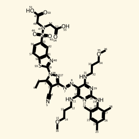 CCc1c(C#N)c(N=Nc2c(NCCCOC)nc(Nc3c(C)cc(C)cc3C)nc2NCCCOC)nn1-c1nc2cc(S(=O)(=O)N(CC(=O)O)CC(=O)O)ccc2s1